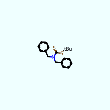 CC(C)(C)SC(=S)N(Cc1ccccc1)Cc1ccccc1